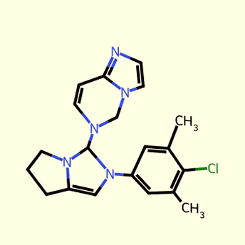 Cc1cc(N2C=C3CCCN3C2N2C=Cc3nccn3C2)cc(C)c1Cl